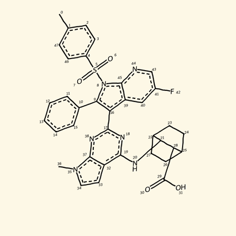 Cc1ccc(S(=O)(=O)n2c(-c3ccccc3)c(-c3nc(NC4C5CCC(CC5)C4C(=O)O)c4ccn(C)c4n3)c3cc(F)cnc32)cc1